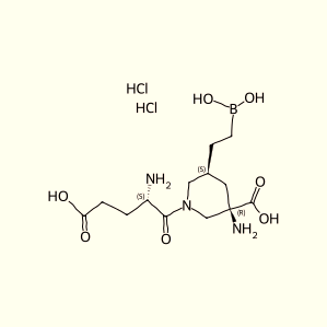 Cl.Cl.N[C@@H](CCC(=O)O)C(=O)N1C[C@@H](CCB(O)O)C[C@](N)(C(=O)O)C1